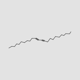 CCCCCCCCCCC#CC#CCCCCCCCCCC